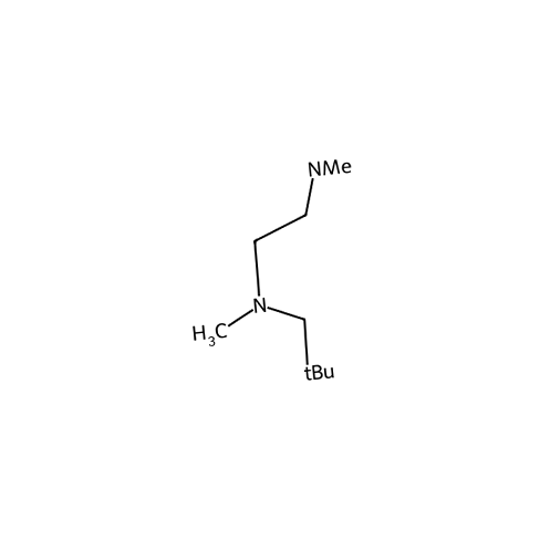 CNCCN(C)CC(C)(C)C